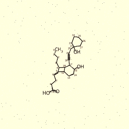 CCCCC1/C(=C/CCC(=O)O)C2CCC(O)C(C#CCC3(O)CCCCC3)C12